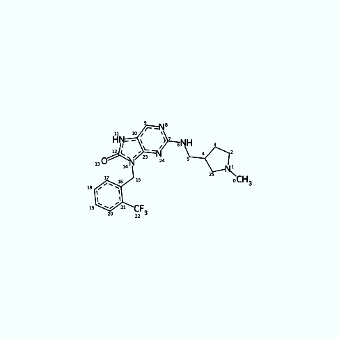 CN1CCC(CNc2ncc3[nH]c(=O)n(Cc4ccccc4C(F)(F)F)c3n2)C1